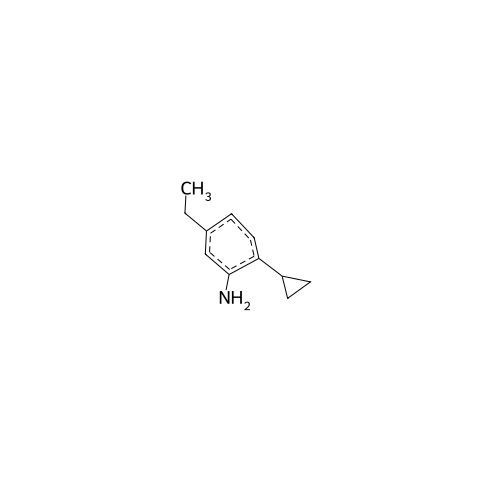 CCc1ccc(C2CC2)c(N)c1